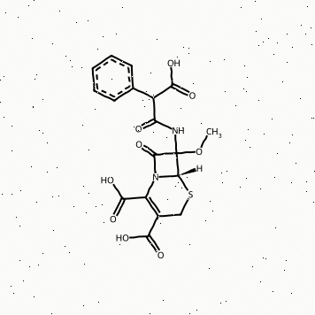 COC1(NC(=O)C(C(=O)O)c2ccccc2)C(=O)N2C(C(=O)O)=C(C(=O)O)CS[C@H]21